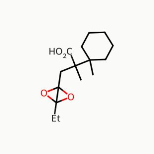 CCC12OC1(CC(C)(C(=O)O)C1(C)CCCCC1)O2